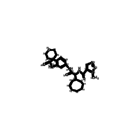 Cn1nncc1C(=O)NC(C(=O)Nc1ccc2c(c1)NC(=O)C21CCOCC1)C1CCCCCCC1